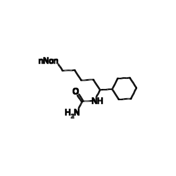 CCCCCCCCCCCCCC(NC(N)=O)C1CCCCC1